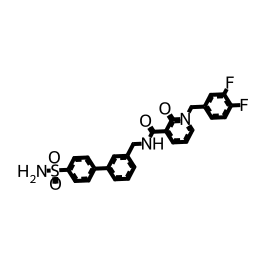 NS(=O)(=O)c1ccc(-c2cccc(CNC(=O)c3cccn(Cc4ccc(F)c(F)c4)c3=O)c2)cc1